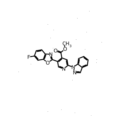 COC(=O)c1cc(-n2ncc3ccccc32)ncc1-c1nc2ccc(F)cc2o1